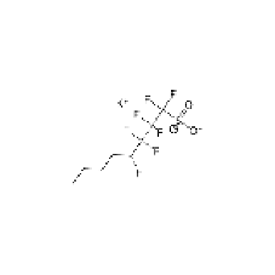 CCCCC(F)C(F)(F)C(F)(F)C(F)(F)S(=O)(=O)[O-].[K+]